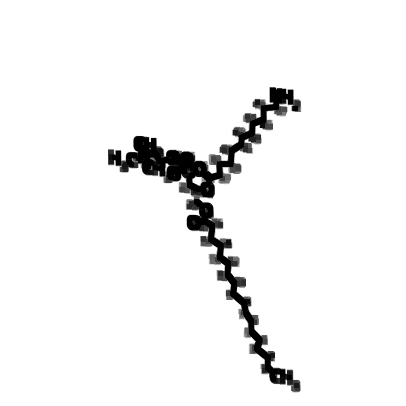 CCCCCCCCCCCCCCCCCC(=O)OC[C@H](COP(=O)([O-])OCC[N+](C)(C)C)OC(=O)CCCCCCCCCCCN